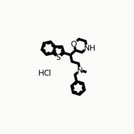 CN(CCC(c1cc2ccccc2s1)C1CNCCO1)Cc1ccccc1.Cl